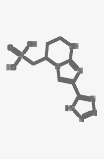 O=P(O)(O)CC1CCNc2nc(-c3nnn[nH]3)cn21